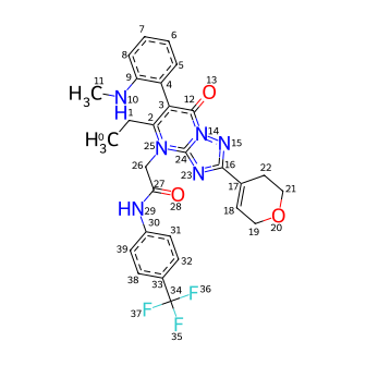 CCc1c(-c2ccccc2NC)c(=O)n2nc(C3=CCOCC3)nc2n1CC(=O)Nc1ccc(C(F)(F)F)cc1